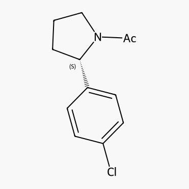 CC(=O)N1CCC[C@H]1c1ccc(Cl)cc1